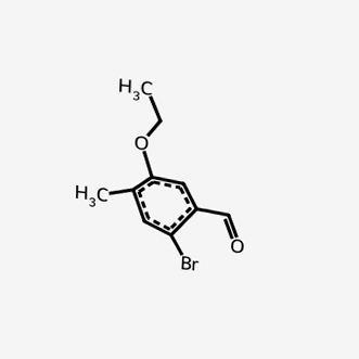 CCOc1cc(C=O)c(Br)cc1C